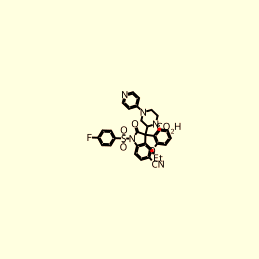 CCOc1ccccc1C1(C2CN(c3ccncc3)CCN2C(=O)O)C(=O)N(S(=O)(=O)c2ccc(F)cc2)c2ccc(C#N)cc21